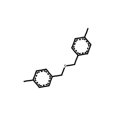 Cc1ccc(CSCc2ccc(C)cc2)cc1